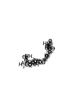 CC(=O)/C(=C\c1cc(Nc2nc(N3CCC(O[C@H]4C[C@H](N5CC=C(c6ccc7c(c6)C(=O)N(C6CCC(=O)NC6=O)C7=O)CC5)C4)CC3)ncc2Cl)ccc1C)OCC(N)=O